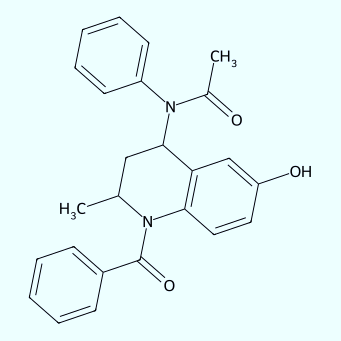 CC(=O)N(c1ccccc1)C1CC(C)N(C(=O)c2ccccc2)c2ccc(O)cc21